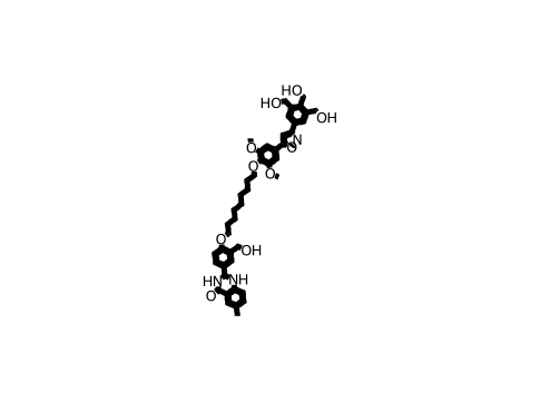 COc1cc(-c2cc(-c3cc(CO)c(CO)c(CO)c3)no2)cc(OC)c1OCCCCCCCCCOc1ccc(C2NC(=O)c3cc(C)ccc3N2)cc1CO